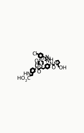 O=C(O)c1cc2cc(NC(=O)C(Cc3ccc(NC(=O)N4CCCC4CO)cc3)N3CCN(c4cc(Cl)ccc4-n4cnnn4)C(=O)C3=O)ccc2[nH]1